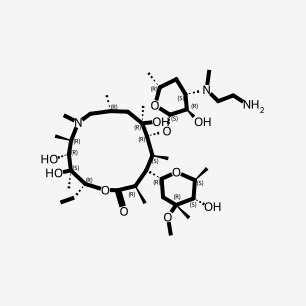 CC[C@H]1OC(=O)[C@H](C)C([C@H]2C[C@@](C)(OC)[C@@H](O)[C@H](C)O2)[C@H](C)[C@@H](O[C@@H]2O[C@H](C)C[C@H](N(C)CCN)[C@H]2O)[C@](C)(O)C[C@@H](C)CN(C)[C@H](C)[C@@H](O)[C@]1(C)O